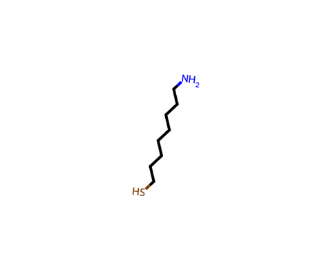 NCCCCCCCCS